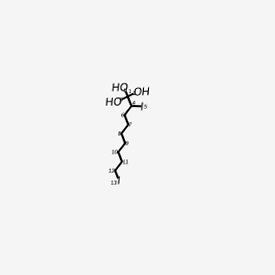 OC(O)(O)C(I)CCCCCCCI